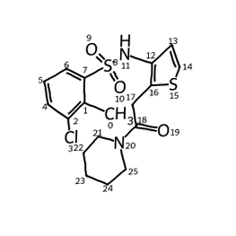 Cc1c(Cl)cccc1S(=O)(=O)Nc1ccsc1CC(=O)N1CCCCC1